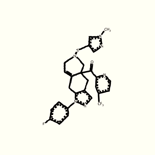 Cn1cc(SN2CC=C3Cc4c(cnn4-c4ccc(F)cc4)CC3(C(=O)c3cc(C(F)(F)F)ccn3)C2)cn1